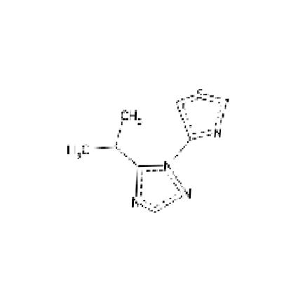 CC(C)c1ncnn1-c1cscn1